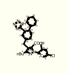 CCCCc1nn(-c2ccc(Cl)cc2Cl)c(C(=O)O)c1Cc1ccc(-c2ccccc2)c(-c2nnn[nH]2)c1